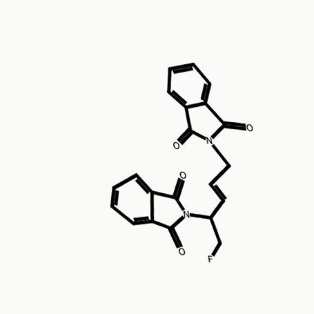 O=C1c2ccccc2C(=O)N1C/C=C/C(CF)N1C(=O)c2ccccc2C1=O